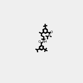 CC(C)c1cc(C(=O)NC(C)(C)CCC(C)c2cc(C(=O)N(C)C(C)C)cc(C(C)(C)C)c2)cc(C(C)(C)C)c1